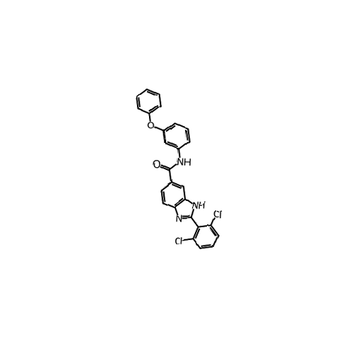 O=C(Nc1cccc(Oc2ccccc2)c1)c1ccc2nc(-c3c(Cl)cccc3Cl)[nH]c2c1